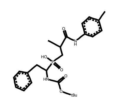 Cc1ccc(NC(=O)C(C)CP(=O)(O)C(Cc2ccccc2)NC(=O)OC(C)(C)C)cc1